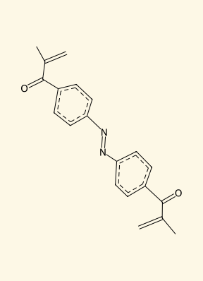 C=C(C)C(=O)c1ccc(/N=N/c2ccc(C(=O)C(=C)C)cc2)cc1